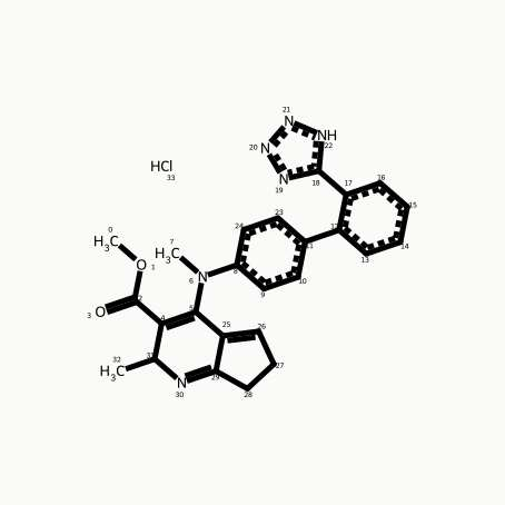 COC(=O)C1=C(N(C)c2ccc(-c3ccccc3-c3nnn[nH]3)cc2)C2=CCCC2=NC1C.Cl